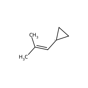 CC(C)=C[C]1CC1